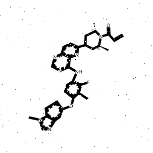 C=CC(=O)N1[C@@H](C)CC(c2ccc3ncnc(Nc4ccc(Oc5ccc6c(c5)ncn6C)c(C)c4F)c3n2)C[C@@H]1C